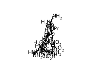 CC(C)C[C@H](NC(=O)CNC(=O)[C@H](CC(C)C)NC(=O)[C@@H]1CCCN1C(=O)[C@H](N)CCCCN)C(=O)N[C@@H](CNc1ccc([N+](=O)[O-])cc1[N+](=O)[O-])C(=O)N[C@@H](C)C(=O)N[C@H](CCCNC(=N)N)C(=O)N[C@H](CCC(=O)O)C(=O)N[C@@H]([C]=O)CCCNC(=N)N